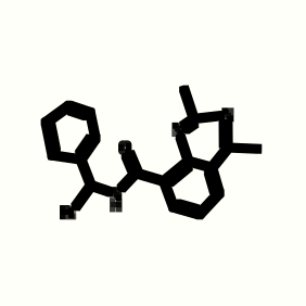 CCC(NC(=O)c1cccc2c(C)nc(C)nc12)c1ccccc1